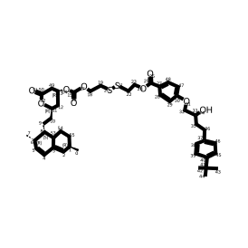 C[C@H]1C=C2C=C[C@H](C)[C@H](CC[C@@H]3C[C@@H](OC(=O)OCCSSCCOC(=O)c4ccc(OCC(O)CCc5ccc(C(C)(C)C)cc5)cc4)CC(=O)O3)C2CC1